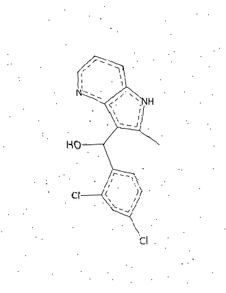 Cc1[nH]c2cccnc2c1C(O)c1ccc(Cl)cc1Cl